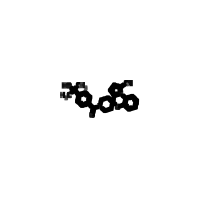 CC(C)(O)c1ccc(C(=O)N2CCC3(CC2)Oc2ccccc2-n2c(C#N)ccc23)cc1